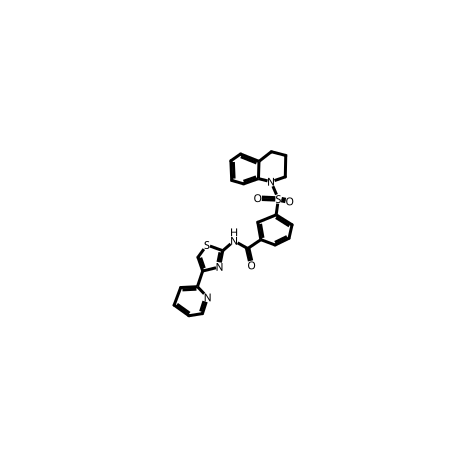 O=C(Nc1nc(-c2ccccn2)cs1)c1cccc(S(=O)(=O)N2CCCc3ccccc32)c1